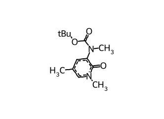 Cc1cc(N(C)C(=O)OC(C)(C)C)c(=O)n(C)c1